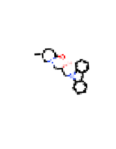 C[C@H]1CCC(=O)N(C[C@@H](O)Cn2c3ccccc3c3ccccc32)C1